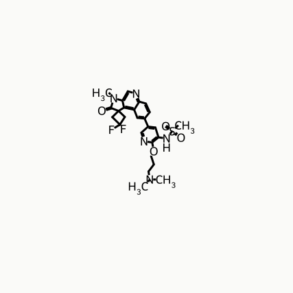 CN(C)CCCOc1ncc(-c2ccc3ncc4c(c3c2)C2(CC(F)(F)C2)C(=O)N4C)cc1NS(C)(=O)=O